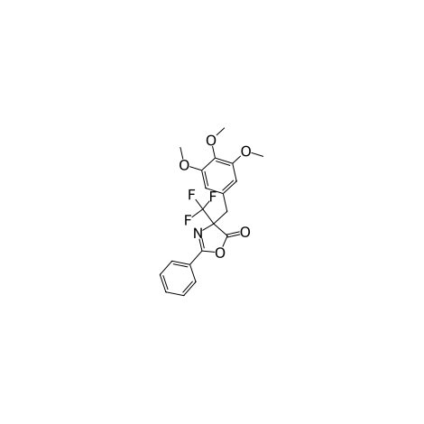 COc1cc(CC2(C(F)(F)F)N=C(c3ccccc3)OC2=O)cc(OC)c1OC